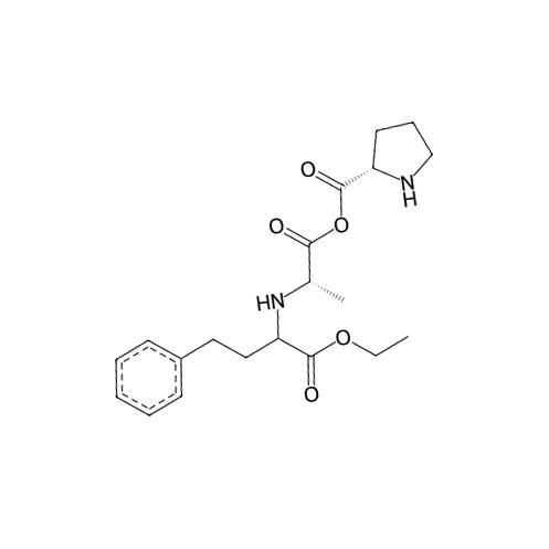 CCOC(=O)C(CCc1ccccc1)N[C@@H](C)C(=O)OC(=O)[C@@H]1CCCN1